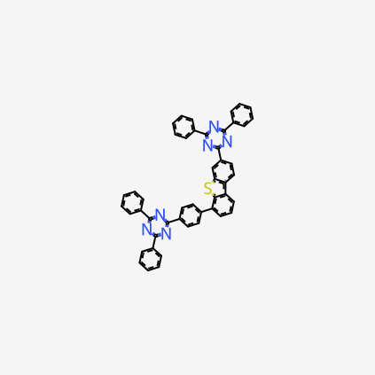 c1ccc(-c2nc(-c3ccccc3)nc(-c3ccc(-c4cccc5c4sc4cc(-c6nc(-c7ccccc7)nc(-c7ccccc7)n6)ccc45)cc3)n2)cc1